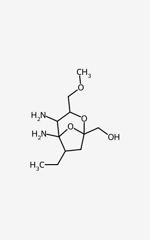 CCC1CC2(CO)OC(COC)C(N)C1(N)O2